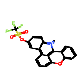 C[n+]1c2c3c(cccc3c3cc(OS(=O)(=O)C(F)(F)F)ccc31)Oc1ccccc1-2